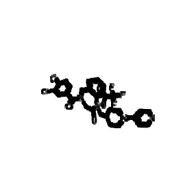 O=C(c1ccc(Cl)c(Cl)c1)N1CC(=O)[N+](CC2CCN(c3ccncc3)CC2)(OC(=O)C(F)(F)F)c2ccccc2C1